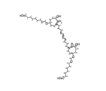 CCCCCCCCCCCCCCCCOCOC1CCC(O)[SiH2]N(CCCSSSSCCCN2CCC(OCOCCCCCCCCCCCCCCCC)CCC(O)[SiH2]2)CC1